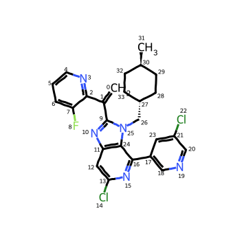 C=C(c1ncccc1F)c1nc2cc(Cl)nc(-c3cncc(Cl)c3)c2n1C[C@H]1CC[C@H](C)CC1